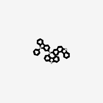 c1ccc(-n2c3ccccc3c3ccc(N(c4ccc5c(ccc6oc7ccccc7c65)c4)c4cccc5sc6ccccc6c45)cc32)cc1